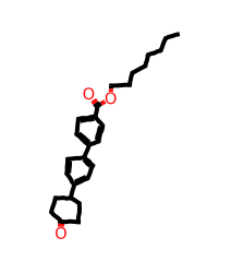 CCCCCCCCOC(=O)c1ccc(-c2ccc(C3CCC(=O)CC3)cc2)cc1